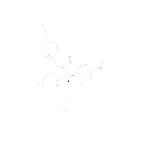 CC(=O)c1cc(F)c2c(c1)C(=O)N(Cc1ccc(C#N)cn1)[C@@]2(OC[C@H]1C[C@@H](O)C1)c1ccc(Cl)cc1